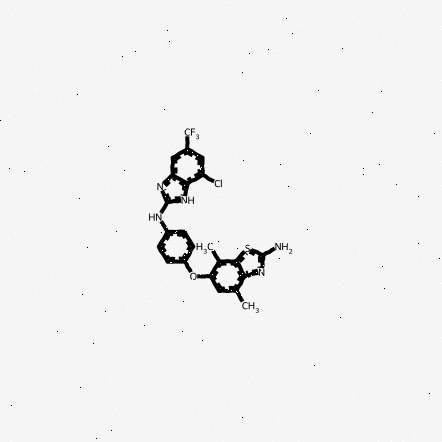 Cc1cc(Oc2ccc(Nc3nc4cc(C(F)(F)F)cc(Cl)c4[nH]3)cc2)c(C)c2sc(N)nc12